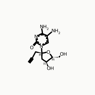 C#CC[C@]1(n2cc(N)c(N)nc2=O)C[C@H](O)[C@@H](CO)O1